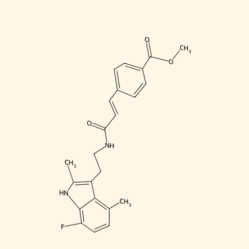 COC(=O)c1ccc(C=CC(=O)NCCc2c(C)[nH]c3c(F)ccc(C)c23)cc1